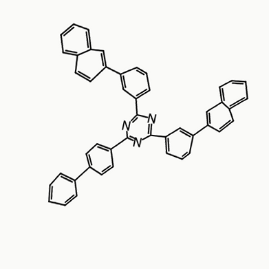 c1ccc(-c2ccc(-c3nc(-c4cccc(-c5ccc6ccccc6c5)c4)nc(-c4cccc(-c5ccc6ccccc6c5)c4)n3)cc2)cc1